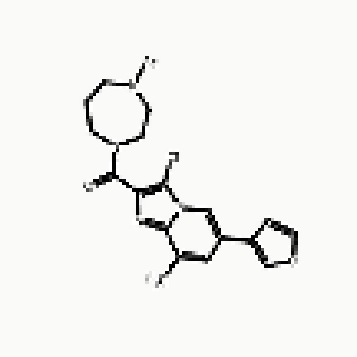 CC(=O)N1CCCN(C(=O)c2nc3c(C(F)(F)F)cc(-c4ccoc4)cn3c2Cl)CC1